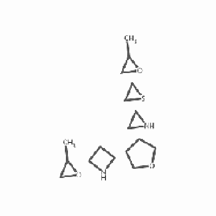 C1CCOC1.C1CN1.C1CNC1.C1CS1.CC1CO1.CC1CO1